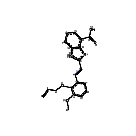 C=CCOc1c(/C=C/c2nc3c(C(=O)O)cccc3[nH]2)cccc1OC